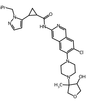 CC(C)Cn1nccc1C1CC1C(=O)Nc1cc2cc(N3CCN(C4(C)COCC4O)CC3)c(Cl)cc2cn1